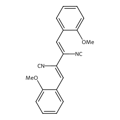 [C-]#[N+]C(=Cc1ccccc1OC)C(=Cc1ccccc1OC)[N+]#[C-]